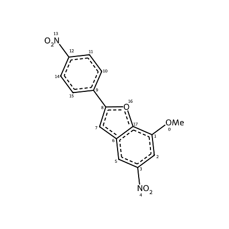 COc1cc([N+](=O)[O-])cc2cc(-c3ccc([N+](=O)[O-])cc3)oc12